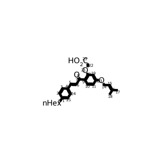 CCCCCCc1ccc(C=CC(=O)c2ccc(OCC=C(C)C)cc2OCC(=O)O)cc1